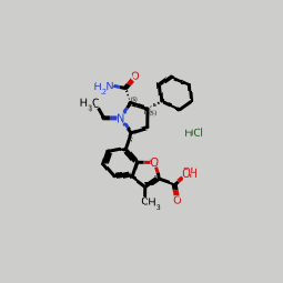 CCN1C(c2cccc3c(C)c(C(=O)O)oc23)C[C@@H](C2CCCCC2)[C@H]1C(N)=O.Cl